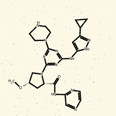 CO[C@H]1C[C@@H](C(=O)Nc2cnccn2)N(c2nc(Nc3cc(C4CC4)n[nH]3)nc(N3CCNCC3)n2)C1